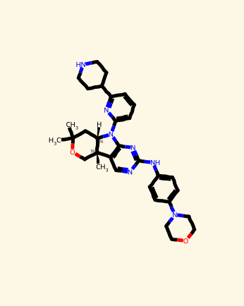 CC1(C)C[C@@H]2N(c3cccc(C4CCNCC4)n3)c3nc(Nc4ccc(N5CCOCC5)cc4)ncc3[C@]2(C)CO1